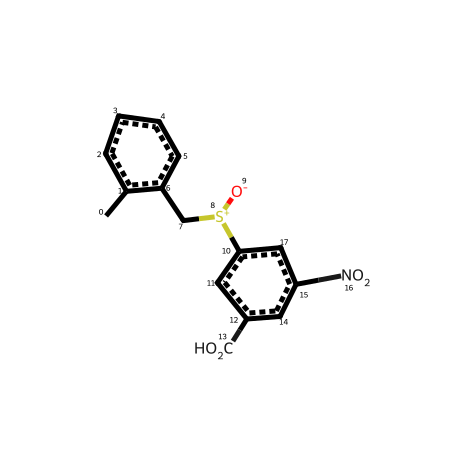 Cc1ccccc1C[S+]([O-])c1cc(C(=O)O)cc([N+](=O)[O-])c1